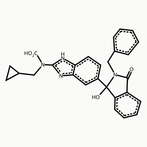 O=C(O)N(CC1CC1)c1nc2cc(C3(O)c4ccccc4C(=O)N3Cc3ccccc3)ccc2[nH]1